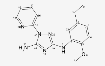 CCc1ccc(OC)c(Nc2nc(N)n(-c3ccccn3)n2)c1